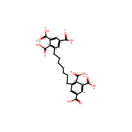 O=C(O)c1cc(CCCCCCCc2cc(C(=O)O)cc(C(=O)O)c2C(=O)O)c(C(=O)O)c(C(=O)O)c1